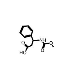 COC(=O)NC(CC(=O)O)c1ccccc1